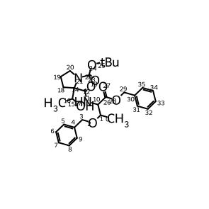 CC(OCc1ccccc1)C(NC(=O)C1(C(C)O)CCCN1C(=O)OC(C)(C)C)C(=O)OCc1ccccc1